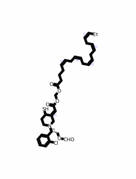 CC/C=C\C/C=C\C/C=C\C/C=C\C/C=C\CCCC(=O)OCOC(=O)/C=C1/CN([C@H](COC=O)c2ccccc2Cl)CCC1S